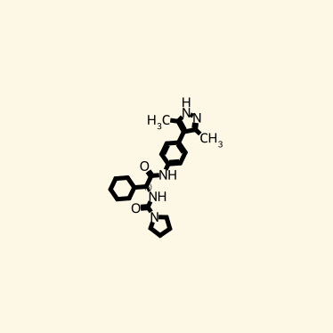 Cc1n[nH]c(C)c1-c1ccc(NC(=O)[C@@H](NC(=O)N2CCCC2)C2CCCCC2)cc1